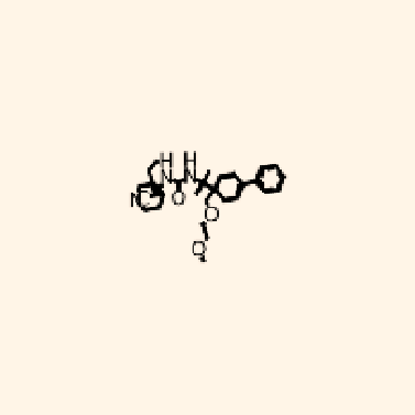 CCC1(NC(=O)NC(C)(C)C2(COCCOC)C=CC(c3ccccc3)=CC2)CN2CCC1CC2